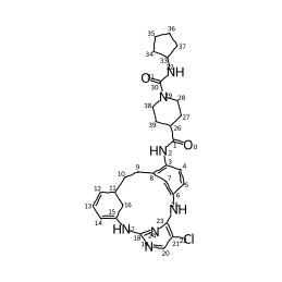 O=C(Nc1ccc2cc1CCC1C=CC=C(C1)Nc1ncc(Cl)c(n1)N2)C1CCN(C(=O)NC2CCCC2)CC1